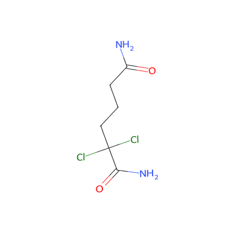 NC(=O)CCCC(Cl)(Cl)C(N)=O